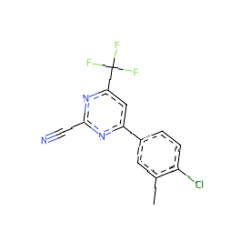 Cc1cc(-c2cc(C(F)(F)F)nc(C#N)n2)ccc1Cl